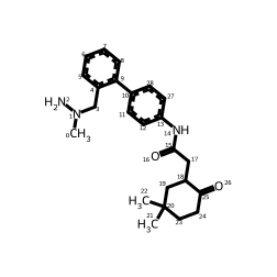 CN(N)Cc1ccccc1-c1ccc(NC(=O)CC2CC(C)(C)CCC2=O)cc1